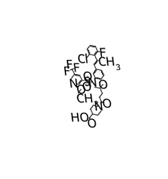 CCOc1ncc(C(F)(F)F)cc1S(=O)(=O)N1CC(CCC(=O)N2CCC(C(=O)O)CC2)Oc2ccc(C=C(C)c3c(F)cccc3Cl)cc21